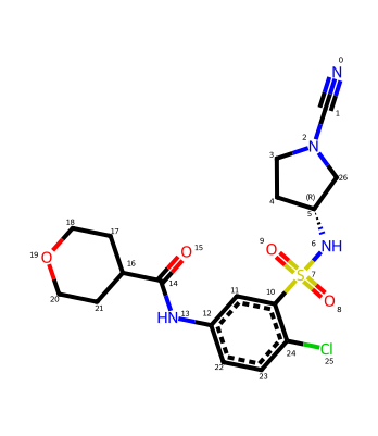 N#CN1CC[C@@H](NS(=O)(=O)c2cc(NC(=O)C3CCOCC3)ccc2Cl)C1